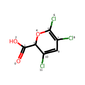 O=C(O)C1OC(Cl)=C(Cl)C=C1Cl